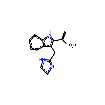 C=C(C(=O)O)c1[nH]c2ccccc2c1Cc1ncc[nH]1